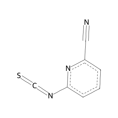 N#Cc1cccc(N=C=S)n1